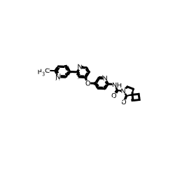 Cc1ccc(-c2cc(Oc3ccc(NC(=O)N4CCC5(CCC5)C4=O)nc3)ccn2)cn1